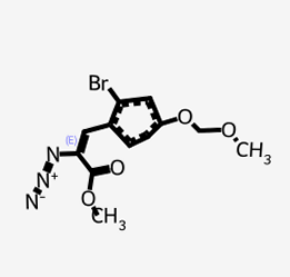 COCOc1ccc(/C=C(/N=[N+]=[N-])C(=O)OC)c(Br)c1